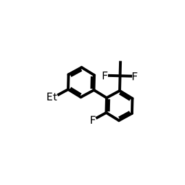 CCc1cccc(-c2c(F)cccc2C(C)(F)F)c1